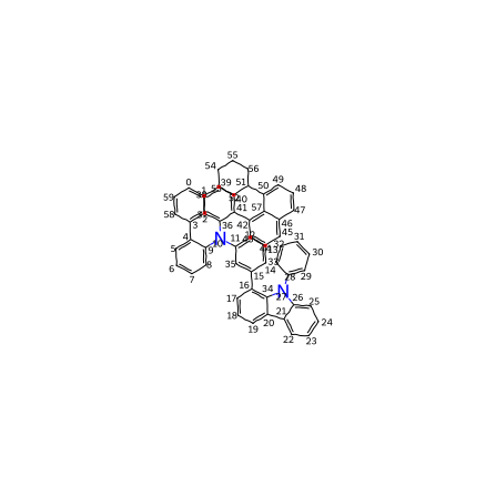 c1ccc(-c2ccccc2N(c2cccc(-c3cccc4c5ccccc5n(-c5ccccc5)c34)c2)c2ccccc2-c2cccc3cccc(C4CCCCC4)c23)cc1